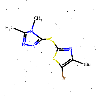 Cc1nnc(Sc2nc(C(C)(C)C)c(Br)s2)n1C